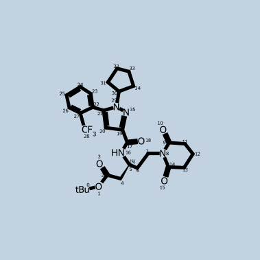 CC(C)(C)OC(=O)C[C@H](CCN1C(=O)CCCC1=O)NC(=O)c1cc(-c2ccccc2C(F)(F)F)n(C2CCCC2)n1